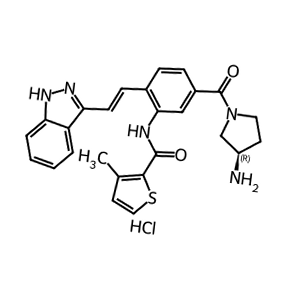 Cc1ccsc1C(=O)Nc1cc(C(=O)N2CC[C@@H](N)C2)ccc1C=Cc1n[nH]c2ccccc12.Cl